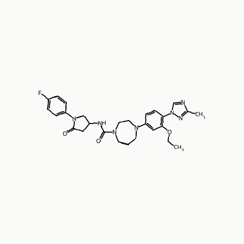 CCOc1cc(N2CCCN(C(=O)NC3CC(=O)N(c4ccc(F)cc4)C3)CC2)ccc1-n1cnc(C)n1